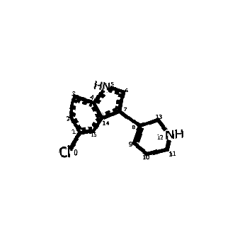 Clc1ccc2[nH]cc(C3=CCCNC3)c2c1